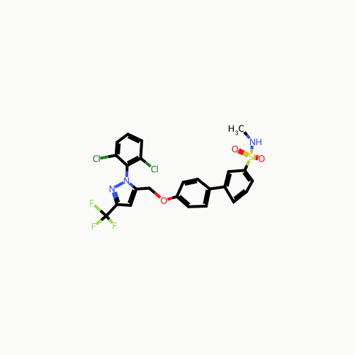 CNS(=O)(=O)c1cccc(-c2ccc(OCc3cc(C(F)(F)F)nn3-c3c(Cl)cccc3Cl)cc2)c1